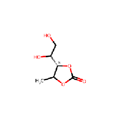 CC1OC(=O)O[C@H]1C(O)CO